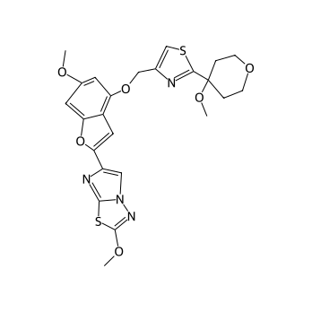 COc1cc(OCc2csc(C3(OC)CCOCC3)n2)c2cc(-c3cn4nc(OC)sc4n3)oc2c1